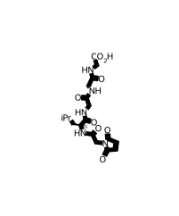 CC(C)C[C@H](NC(=O)CN1C(=O)C=CC1=O)C(=O)NCC(=O)NCC(=O)NCC(=O)O